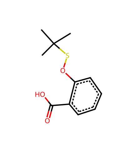 CC(C)(C)SOc1ccccc1C(=O)O